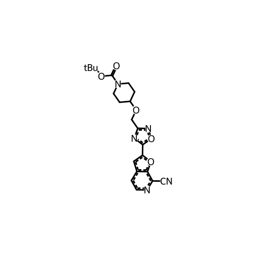 CC(C)(C)OC(=O)N1CCC(OCc2noc(-c3cc4ccnc(C#N)c4o3)n2)CC1